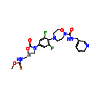 COC(=S)NC[C@H]1CN(c2cc(F)c(N3CCON(C(=O)NCc4cccnc4)CC3)c(F)c2)C(=O)O1